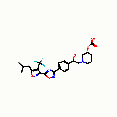 CC(C)Cc1onc(-c2nc(-c3ccc(C(O)CN4CCC[C@H](OC(=O)O)C4)cc3)no2)c1C(F)(F)F